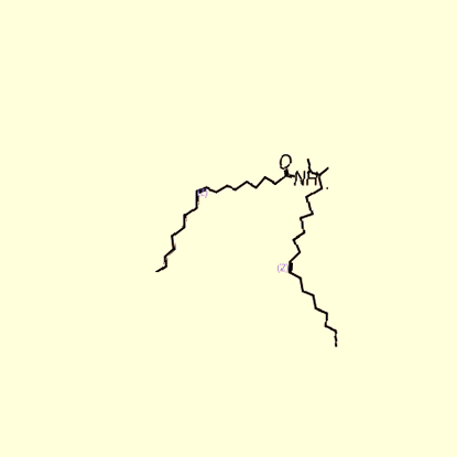 CCCCCCCC/C=C\CCCCCC[CH]C(C)C(C)NC(=O)CCCCCCC/C=C\CCCCCCCC